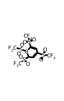 O=S(=O)(B1C(S(=O)(=O)C(F)(F)F)=CC(S(=O)(=O)C(F)(F)F)=CC1S(=O)(=O)C(F)(F)F)C(F)(F)F